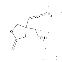 C=C=CC1(CC(=O)O)COC(=O)C1